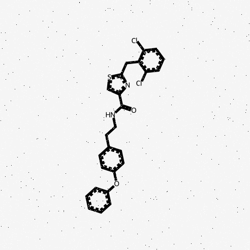 O=C(NCCc1ccc(Oc2ccccc2)cc1)c1csc(Cc2c(Cl)cccc2Cl)n1